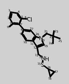 Cc1cccc(Cl)c1-c1ccc2c(CNSC3CC3)cn(CC(C)(C)C)c2c1